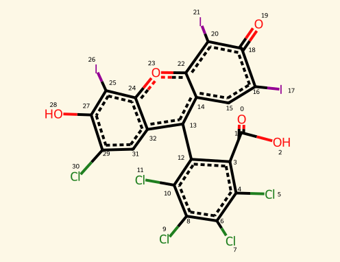 O=C(O)c1c(Cl)c(Cl)c(Cl)c(Cl)c1-c1c2cc(I)c(=O)c(I)c-2oc2c(I)c(O)c(Cl)cc12